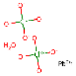 O.[O-][Cl+3]([O-])([O-])[O-].[O-][Cl+3]([O-])([O-])[O-].[Pb+2]